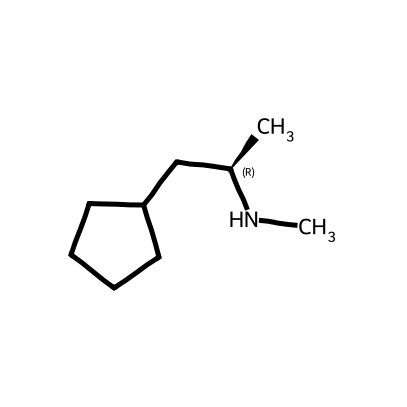 CN[C@H](C)CC1CCCC1